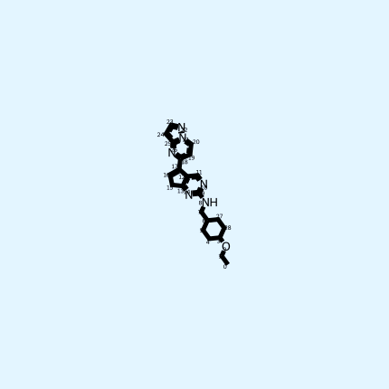 CCOC1CCC(CNc2ncc3c(n2)CC=C3c2ccn3nccc3n2)CC1